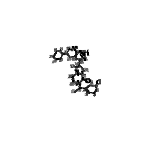 CC(c1cccc(Cl)c1)N1CCn2cc(-c3n[nH]c4ncc(-c5ccccc5)cc34)cc2C1=O